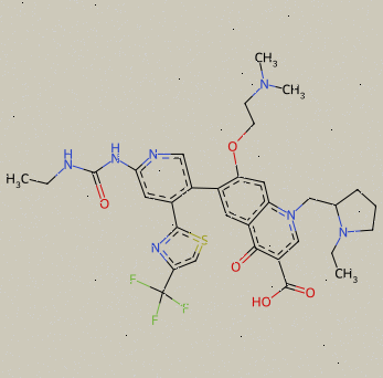 CCNC(=O)Nc1cc(-c2nc(C(F)(F)F)cs2)c(-c2cc3c(=O)c(C(=O)O)cn(CC4CCCN4CC)c3cc2OCCN(C)C)cn1